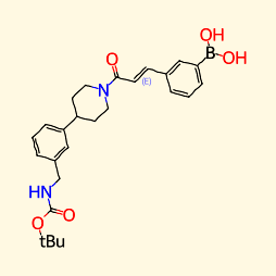 CC(C)(C)OC(=O)NCc1cccc(C2CCN(C(=O)/C=C/c3cccc(B(O)O)c3)CC2)c1